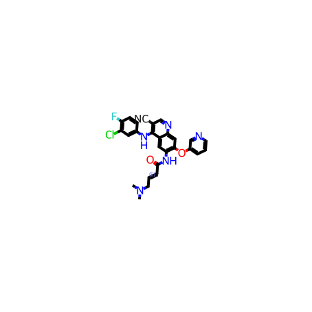 CN(C)C/C=C/C(=O)Nc1cc2c(Nc3ccc(F)c(Cl)c3)c(C#N)cnc2cc1Oc1cccnc1